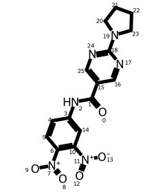 O=C(Nc1ccc([N+](=O)[O-])c([N+](=O)[O-])c1)c1cnc(N2CCCC2)nc1